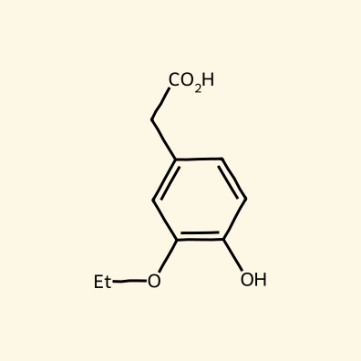 CCOc1cc(CC(=O)O)ccc1O